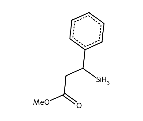 COC(=O)CC([SiH3])c1ccccc1